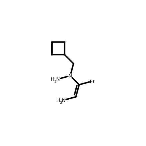 CC/C(=C/N)N(N)CC1CCC1